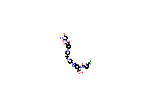 CC(C)(O)c1cc2nn(C3CCN(CC(C)(C)C4CCN(c5ccc6c(c5)C(=O)N(C5CCC(=O)NC5=O)C6=O)CC4)CC3)cc2cc1NC(=O)c1cccc(C(F)(F)F)n1